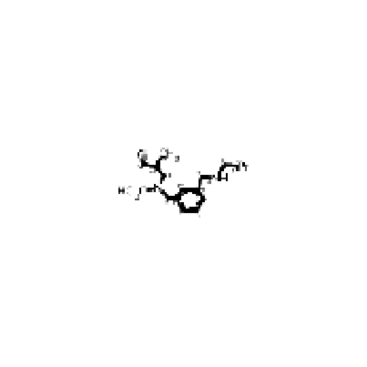 CC(C)CNCc1cccc(CN(CC(C)CCl)C(=O)O)c1